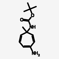 CC1(NC(=O)OC(C)(C)C)C=CC=C(N)C=C1